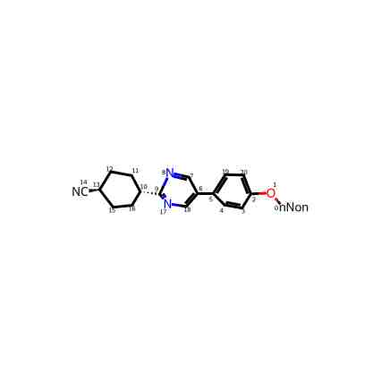 CCCCCCCCCOc1ccc(-c2cnc([C@H]3CC[C@H](C#N)CC3)nc2)cc1